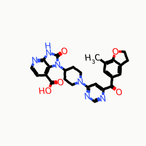 Cc1cc(C(=O)c2cc(N3CCC(n4c(=O)[nH]c5nccc(C(=O)O)c54)CC3)ncn2)cc2c1OCC2